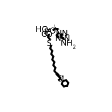 C[C@H](Cn1cnc2c(N)ncnc21)OCP(=O)(O)OCCSCCCCCCCCCCC#C[Si](C)(C)C1CCCCC1